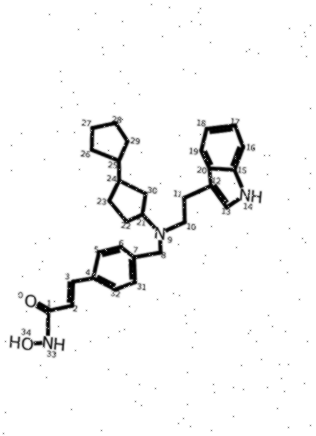 O=C(/C=C/c1ccc(CN(CCc2c[nH]c3ccccc23)C2CCC(C3CCCC3)C2)cc1)NO